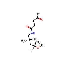 CCOC(C)(C)CC(C)(C)CNC(=O)CCC(=O)C(C)C